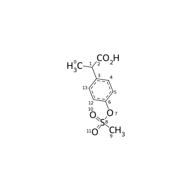 CC(C(=O)O)c1ccc(OS(C)(=O)=O)cc1